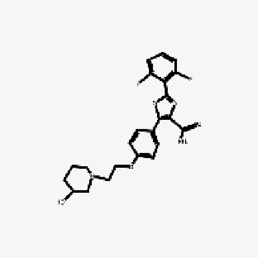 NC(=O)c1nc(-c2c(F)cccc2F)oc1-c1ccc(OCCN2CCCC(O)C2)cc1